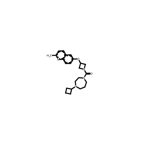 Cc1ccc2cc(OC3CN(C(=O)N4CCCN(C5CCC5)CC4)C3)ccc2n1